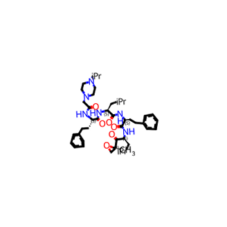 CC(C)C[C@H](NC(=O)[C@H](CCc1ccccc1)NC(=O)CN1CCN(C(C)C)CC1)C(=O)N[C@@H](CCc1ccccc1)C(=O)N[C@@H](CC(C)C)C(=O)[C@@]1(C)CO1